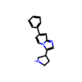 c1ccc(-c2ccn3c(C4CCNC4)cnc3c2)cc1